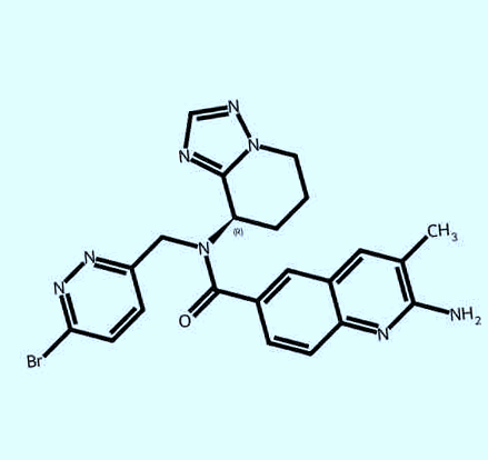 Cc1cc2cc(C(=O)N(Cc3ccc(Br)nn3)[C@@H]3CCCn4ncnc43)ccc2nc1N